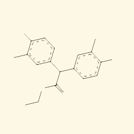 CCOC(=O)C(c1ccc(O)c(C)c1)c1ccc(O)c(C)c1